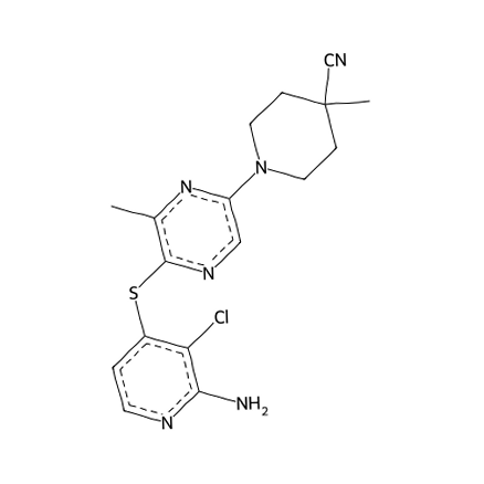 Cc1nc(N2CCC(C)(C#N)CC2)cnc1Sc1ccnc(N)c1Cl